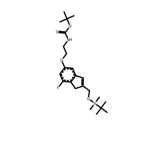 CC(C)(C)OC(=O)NCCOc1cc(F)c2c(c1)C=C(CO[Si](C)(C)C(C)(C)C)C2